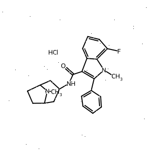 CN1C2CCC1CC(NC(=O)c1c(-c3ccccc3)n(C)c3c(F)cccc13)C2.Cl